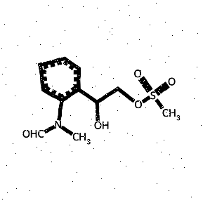 CN(C=O)c1ccccc1C(O)COS(C)(=O)=O